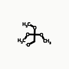 COC(C[O])(OC)OC